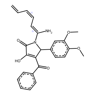 C=C/C=C\C=C(/N)N1C(=O)C(O)=C(C(=O)c2ccccc2)C1c1ccc(OC)c(OC)c1